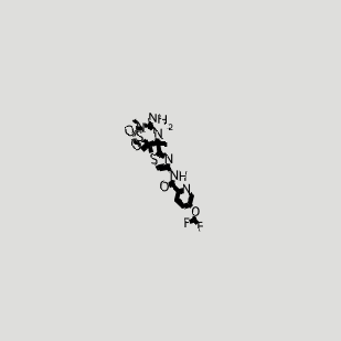 CN1C(N)=NC(C)(c2nc(NC(=O)c3ccc(OC(F)F)cn3)cs2)C(C)(C)S1(=O)=O